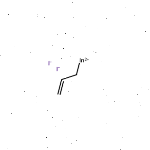 C=C[CH2][In+2].[I-].[I-]